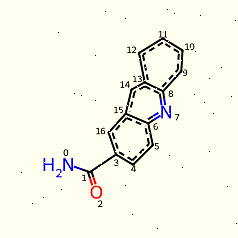 NC(=O)c1ccc2nc3ccccc3cc2c1